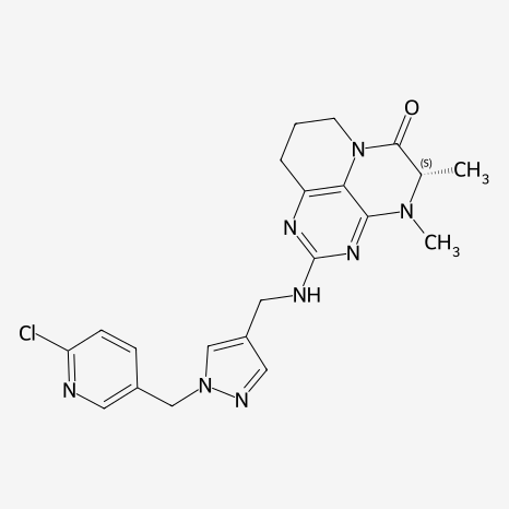 C[C@H]1C(=O)N2CCCc3nc(NCc4cnn(Cc5ccc(Cl)nc5)c4)nc(c32)N1C